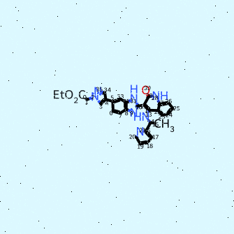 CCOC(=O)Cn1cc(-c2ccc3nc(-c4c(NC(C)c5ccccn5)c5ccccc5[nH]c4=O)[nH]c3c2)cn1